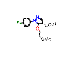 COCCOc1c(C(=O)O)cnn1-c1ccc(F)cc1